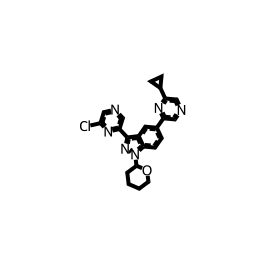 Clc1cncc(-c2nn(C3CCCCO3)c3ccc(-c4cncc(C5CC5)n4)cc23)n1